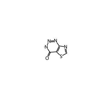 O=C1[N]N=Nc2ncsc21